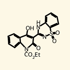 CCOC(=O)n1c(=O)c(C2=NS(=O)(=O)c3ccccc3N2)c(O)c2ccccc21